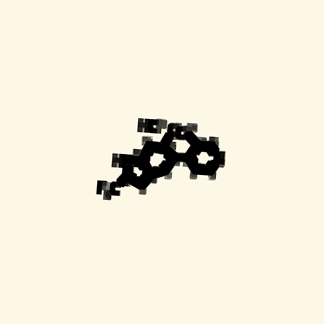 Cl.FC(F)(F)c1cc2cc(-c3ccncc3Cl)c(Cl)cc2[nH]1